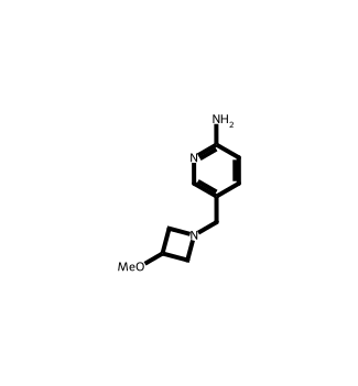 COC1CN(Cc2ccc(N)nc2)C1